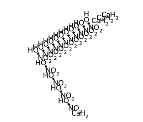 O=[N+]([O-])O.O=[N+]([O-])O.O=[N+]([O-])O.O=[N+]([O-])O.O=[N+]([O-])O.O=[N+]([O-])O.O=[N+]([O-])O.O=[N+]([O-])O.O=[N+]([O-])O.O=[N+]([O-])O.O=[N+]([O-])O.O=[N+]([O-])O.O=[N+]([O-])O.O=[N+]([O-])O.O=[N+]([O-])O.[CaH2].[CaH2].[CaH2].[CaH2]